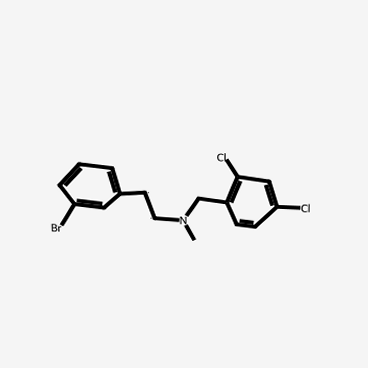 CN([CH][CH]c1cccc(Br)c1)Cc1ccc(Cl)cc1Cl